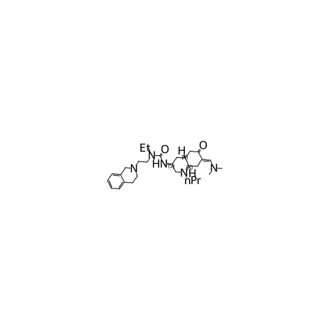 CCCN1C[C@@H](NC(=O)N(CC)CCN2CCc3ccccc3C2)C[C@@H]2CC(=O)C(=CN(C)C)C[C@H]21